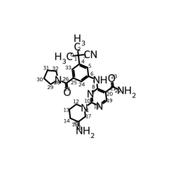 CC(C)(C#N)c1cc(Nc2nc(N3CCC[C@H](N)C3)ncc2C(N)=O)cc(C(=O)N2CCCC2)c1